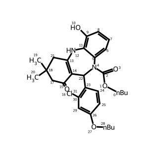 CCCCOC(=O)N1c2cccc(O)c2NC2=C(C(=O)CC(C)(C)C2)C1c1ccc(OCCCC)cc1Cl